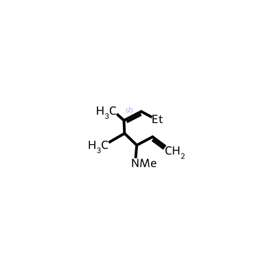 C=CC(NC)C(C)/C(C)=C\CC